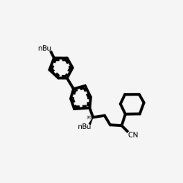 CCCCc1ccc(-c2ccc([C@H](CCCC)CCC(C#N)C3CCCCC3)cc2)cc1